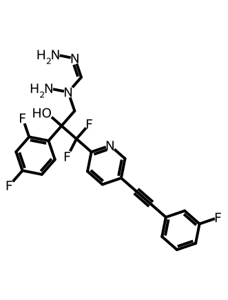 N/N=C\N(N)CC(O)(c1ccc(F)cc1F)C(F)(F)c1ccc(C#Cc2cccc(F)c2)cn1